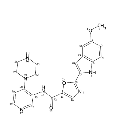 COc1ccc2[nH]c(-c3ncc(C(=O)Nc4cnccc4N4CCNCC4)o3)cc2c1